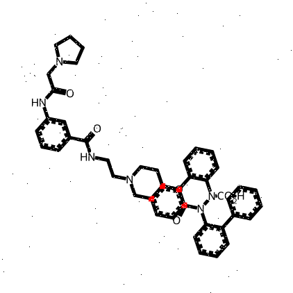 O=C(CN1CCCC1)Nc1cccc(C(=O)NCCN2CCC(OC(=O)N(c3ccccc3-c3ccccc3)N(C(=O)O)c3ccccc3-c3ccccc3)CC2)c1